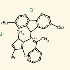 CC1=[C](/[Zr+2](=[C](/C)c2ccccc2)[CH]2c3cc(C(C)(C)C)ccc3-c3ccc(C(C)(C)C)cc32)C(C)C=C1C(C)C.[Cl-].[Cl-]